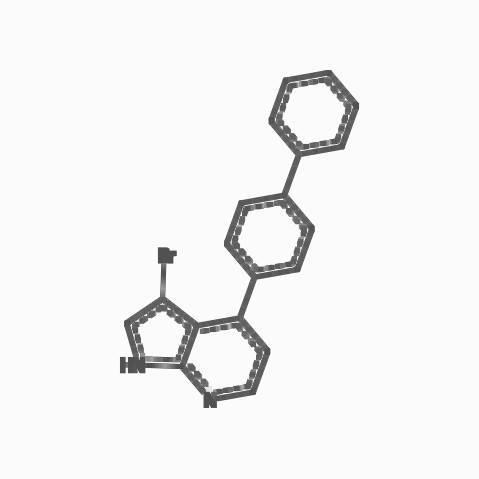 Brc1c[nH]c2nccc(-c3ccc(-c4ccccc4)cc3)c12